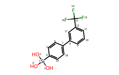 O[Si](O)(O)c1ccc(-c2cccc(C(F)(F)F)c2)cc1